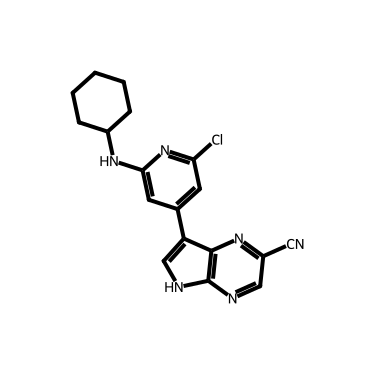 N#Cc1cnc2[nH]cc(-c3cc(Cl)nc(NC4CCCCC4)c3)c2n1